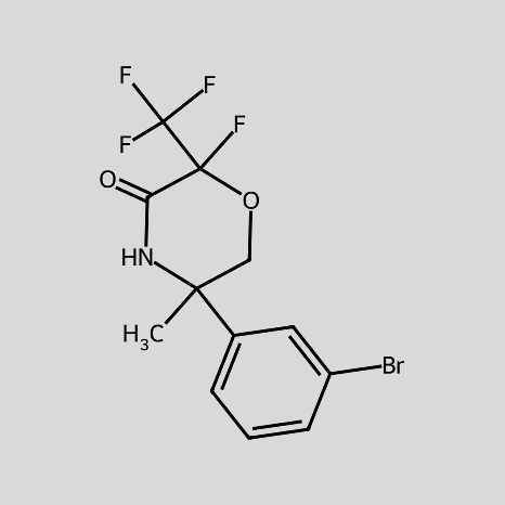 CC1(c2cccc(Br)c2)COC(F)(C(F)(F)F)C(=O)N1